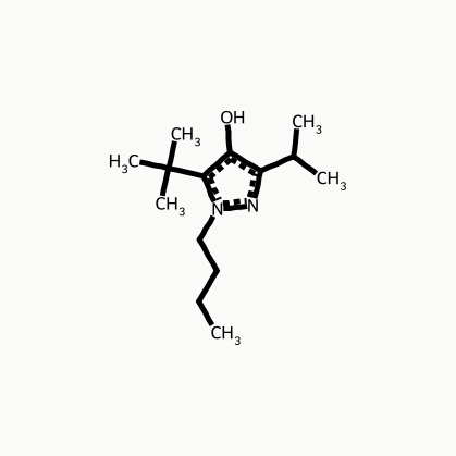 CCCCn1nc(C(C)C)c(O)c1C(C)(C)C